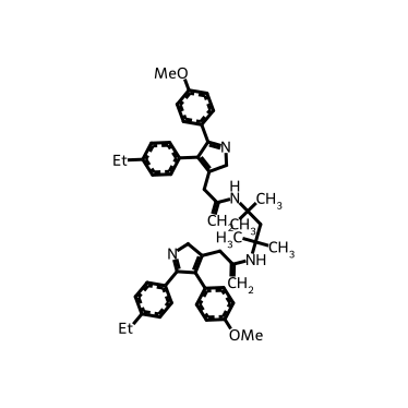 C=C(CC1=C(c2ccc(CC)cc2)C(c2ccc(OC)cc2)=NC1)NC(C)(C)CC(C)(C)NC(=C)CC1=C(c2ccc(OC)cc2)C(c2ccc(CC)cc2)=NC1